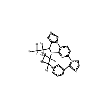 [2H]C([2H])([2H])C([2H])([2H])C1c2nncn2-c2cnc(-n3ccnc3-c3ccccc3)nc2N1C([2H])(C([2H])([2H])[2H])C([2H])([2H])[2H]